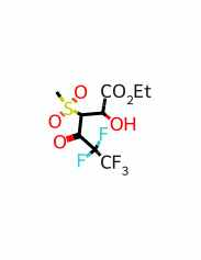 CCOC(=O)C(O)C(C(=O)C(F)(F)C(F)(F)F)S(C)(=O)=O